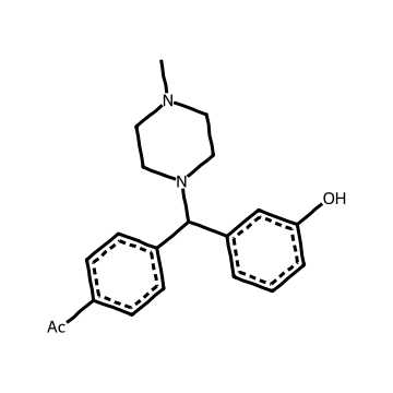 CC(=O)c1ccc(C(c2cccc(O)c2)N2CCN(C)CC2)cc1